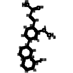 COc1nc(-c2ccc3cccc(F)c3c2)ccc1C=CC(=O)O